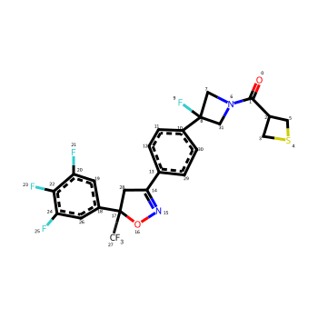 O=C(C1CSC1)N1CC(F)(c2ccc(C3=NOC(c4cc(F)c(F)c(F)c4)(C(F)(F)F)C3)cc2)C1